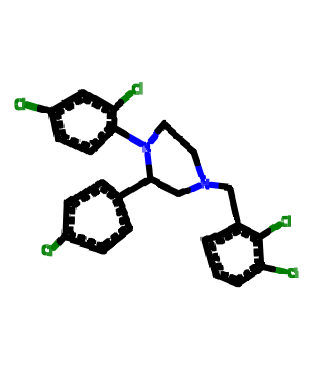 Clc1ccc(C2CN(Cc3cccc(Cl)c3Cl)CCN2c2ccc(Cl)cc2Cl)cc1